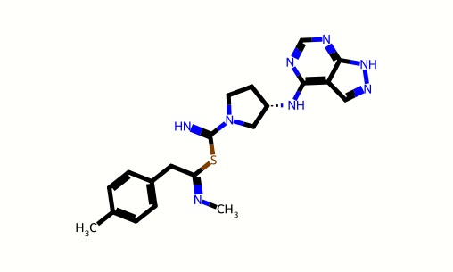 C/N=C(/Cc1ccc(C)cc1)SC(=N)N1CC[C@H](Nc2ncnc3[nH]ncc23)C1